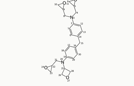 c1cc(N(CC2CO2)CC2CO2)ccc1Cc1ccc(N(CC2CO2)C2COC2)cc1